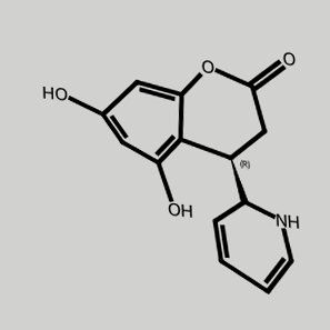 O=C1C[C@@H](C2C=CC=CN2)c2c(O)cc(O)cc2O1